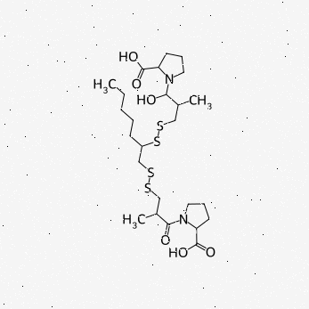 CCCCCC(CSSCC(C)C(=O)N1CCCC1C(=O)O)SSCC(C)C(O)N1CCCC1C(=O)O